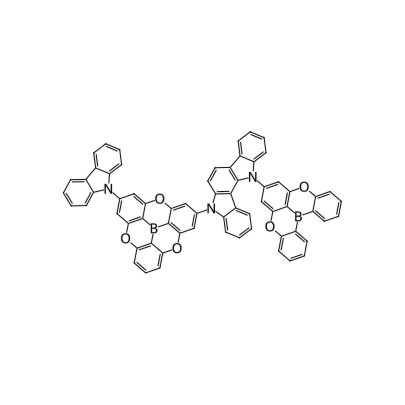 c1ccc2c(c1)Oc1cc(-n3c4ccccc4c4ccc5c(c6ccccc6n5-c5cc6c7c(c5)Oc5cc(-n8c9ccccc9c9ccccc98)cc8c5B7c5c(cccc5O6)O8)c43)cc3c1B2c1ccccc1O3